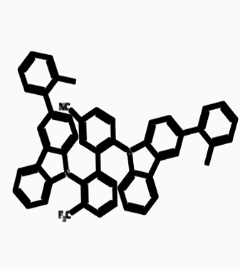 Cc1ccccc1-c1ccc2c(c1)c1ccccc1n2-c1ccc(C#N)cc1-c1cccc(C(F)(F)F)c1-n1c2ccccc2c2cc(-c3ccccc3C)ccc21